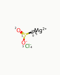 CC(C)S(=O)[O-].[Cl-].[Mg+2]